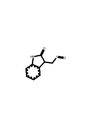 O=[S+]CC1C(=O)Nc2ccccc21